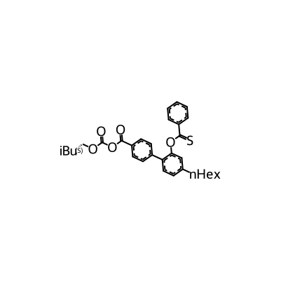 CCCCCCc1ccc(-c2ccc(C(=O)OC(=O)OC[C@@H](C)CC)cc2)c(OC(=S)c2ccccc2)c1